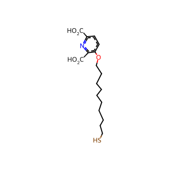 O=C(O)c1ccc(OCCCCCCCCCCS)c(C(=O)O)n1